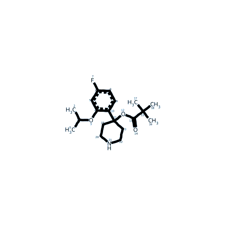 CC(C)Oc1cc(F)ccc1C1(OC(=O)C(C)(C)C)CCNCC1